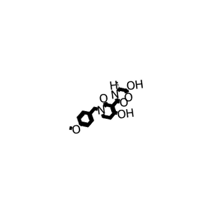 COc1ccc(CN2CCC(O)=C(C(=O)N[C@H](C)C(=O)O)C2=O)cc1